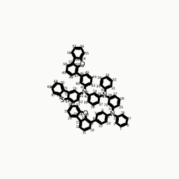 c1ccc(N(c2ccc(-c3cccc4c3oc3ccccc34)cc2)c2cccc(N(c3ccccc3)c3cccc(N(c4cccc(-c5cccc6c5oc5ccccc56)c4)c4ccc5sc6ccccc6c5c4)c3)c2)cc1